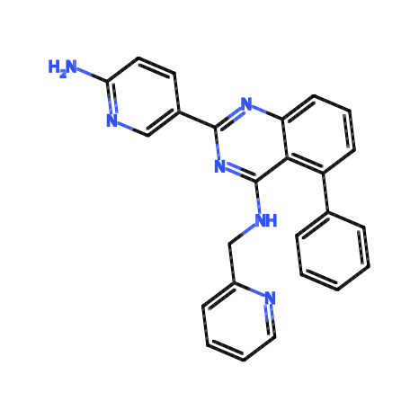 Nc1ccc(-c2nc(NCc3ccccn3)c3c(-c4ccccc4)cccc3n2)cn1